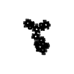 c1cc(-c2cc(-c3nc4ccccc4o3)cc(-c3nc4ccccc4o3)c2)cc(-c2ccc3c(c2)C2(c4ccccc4Sc4ccccc42)c2ccccc2-3)c1